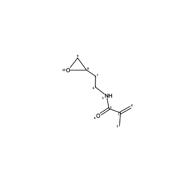 C=C(C)C(=O)NCCC1CO1